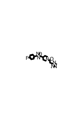 Cn1ncnc1CC(=O)N1CCC(c2nc(-c3ccc(F)cc3)no2)CC1